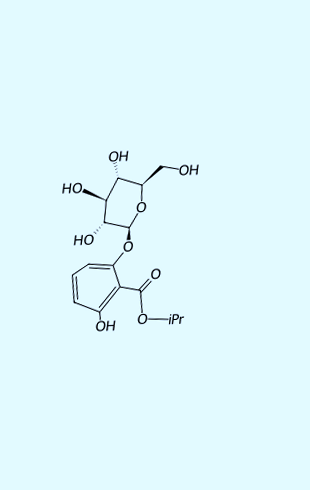 CC(C)OC(=O)c1c(O)cccc1O[C@@H]1O[C@H](CO)[C@@H](O)[C@H](O)[C@H]1O